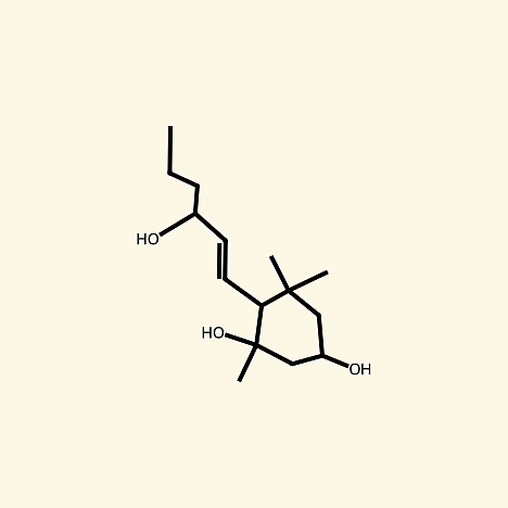 CCCC(O)/C=C/C1C(C)(C)CC(O)CC1(C)O